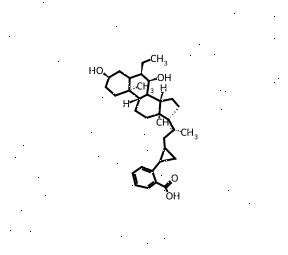 CC[C@@H]1C2C[C@H](O)CC[C@]2(C)[C@H]2CC[C@]3(C)[C@@H]([C@H](C)CC4CC4c4ccccc4C(=O)O)CC[C@H]3C2[C@@H]1O